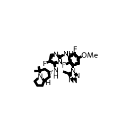 COc1cc(-n2nnnc2C)c(F)c(Nc2ncc(F)c(N[C@@H]3C[C@@H]4CCCN4C(C)(C)C3)n2)c1F